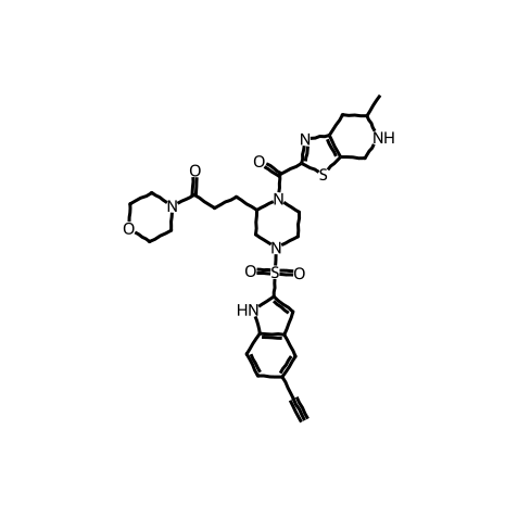 C#Cc1ccc2[nH]c(S(=O)(=O)N3CCN(C(=O)c4nc5c(s4)CNC(C)C5)C(CCC(=O)N4CCOCC4)C3)cc2c1